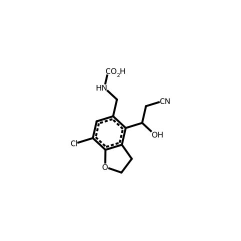 N#CCC(O)c1c(CNC(=O)O)cc(Cl)c2c1CCO2